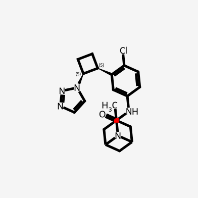 CC1CC2CC(C1)N2C(=O)Nc1ccc(Cl)c([C@@H]2CC[C@@H]2n2ccnn2)c1